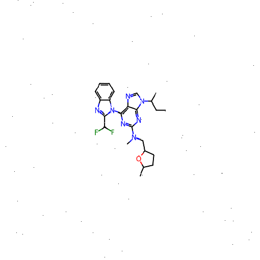 CCC(C)n1cnc2c(-n3c(C(F)F)nc4ccccc43)nc(N(C)CC3CCC(C)O3)nc21